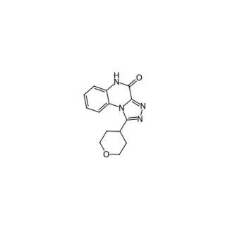 O=c1[nH]c2ccccc2n2c(C3CCOCC3)nnc12